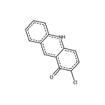 O=c1c(Cl)ccc2[nH]c3ccccc3cc1-2